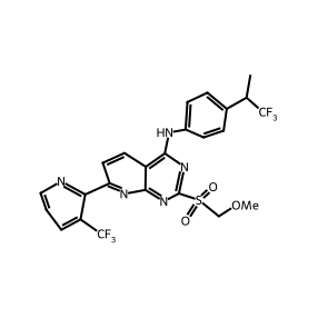 COCS(=O)(=O)c1nc(Nc2ccc(C(C)C(F)(F)F)cc2)c2ccc(-c3ncccc3C(F)(F)F)nc2n1